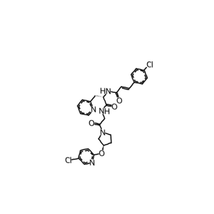 O=C(/C=C/c1ccc(Cl)cc1)N[C@@H](Cc1ccccn1)C(=O)NCC(=O)N1CC[C@@H](Oc2ccc(Cl)cn2)C1